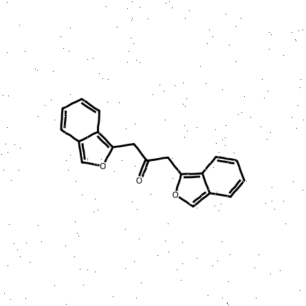 O=C(Cc1occ2ccccc12)Cc1occ2ccccc12